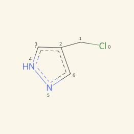 ClCc1[c][nH]nc1